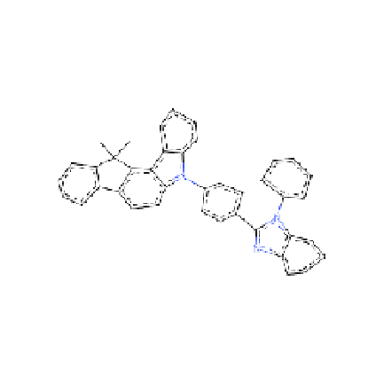 CC1(C)c2ccccc2-c2ccc3c(c21)c1ccccc1n3-c1ccc(-c2nc3ccccc3n2-c2ccccc2)cc1